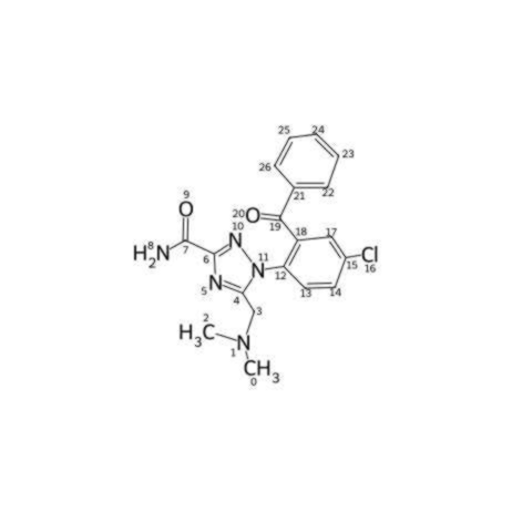 CN(C)Cc1nc(C(N)=O)nn1-c1ccc(Cl)cc1C(=O)c1ccccc1